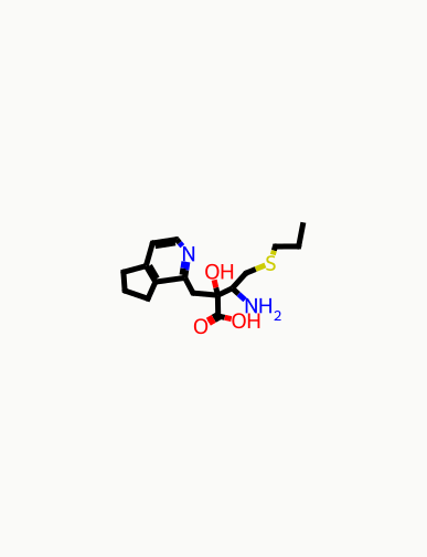 CCCSCC(N)C(O)(Cc1nccc2c1CCC2)C(=O)O